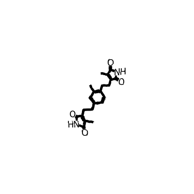 CC1=C(CCc2ccc(CCC3=C(C)C(=O)NC3=O)c(C)c2)C(=O)NC1=O